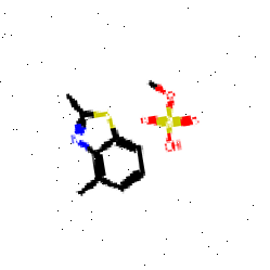 COS(=O)(=O)O.Cc1nc2c(C)cccc2s1